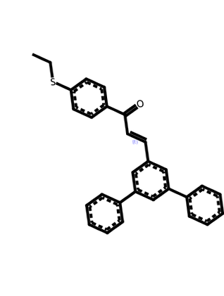 CCSc1ccc(C(=O)/C=C/c2cc(-c3ccccc3)cc(-c3ccccc3)c2)cc1